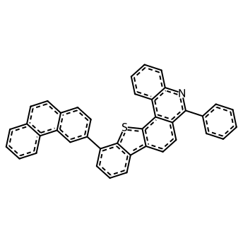 c1ccc(-c2nc3ccccc3c3c2ccc2c4cccc(-c5ccc6ccc7ccccc7c6c5)c4sc23)cc1